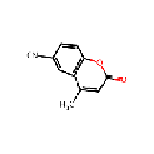 [C-]#[N+]c1ccc2oc(=O)cc(C)c2c1